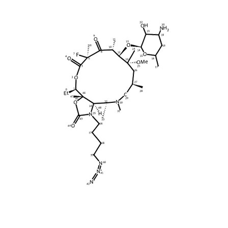 CC[C@H]1OC(=O)[C@@](C)(F)C(=O)[C@H](C)[C@@H](O[C@@H]2OC(C)CC(N)C2O)[C@](C)(OC)C[C@@H](C)CN(C)[C@H](C)[C@H]2N(CCCCN=[N+]=[N-])C(=O)O[C@]12C